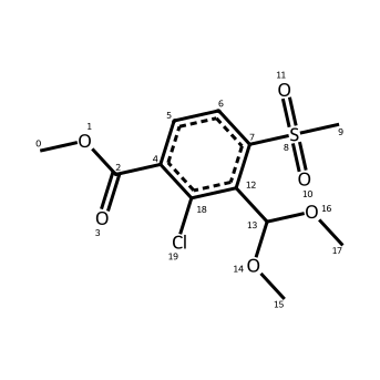 COC(=O)c1ccc(S(C)(=O)=O)c(C(OC)OC)c1Cl